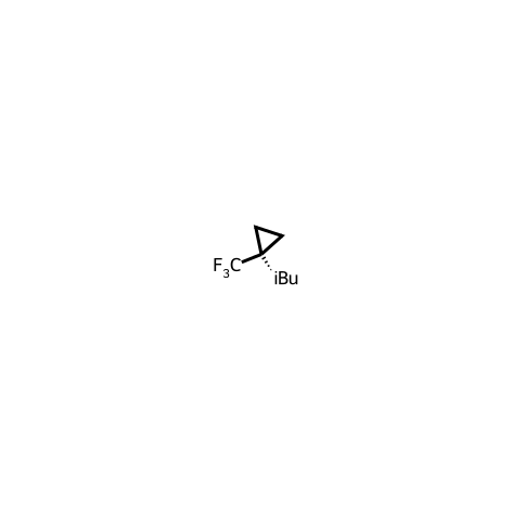 CC[C@@H](C)C1(C(F)(F)F)CC1